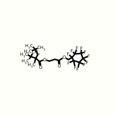 CC(C)(C)CC(C)(C(=O)OCCC(=O)OCC1(F)C(F)(F)C(F)(F)C(F)(F)C(F)(F)C1(F)F)C(C)(C)C